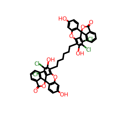 O=C1OC2(c3ccc(O)cc3Oc3c(CCCCCCc4c(O)c(Cl)c(Cl)c5c4Oc4cc(O)ccc4C54OC(=O)c5ccccc54)c(O)c(Cl)c(Cl)c32)c2ccccc21